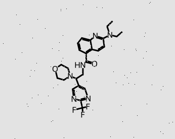 CCN(CC)c1ccc2c(C(=O)NCC(c3cnc(C(F)(F)F)nc3)N3CCOCC3)cccc2n1